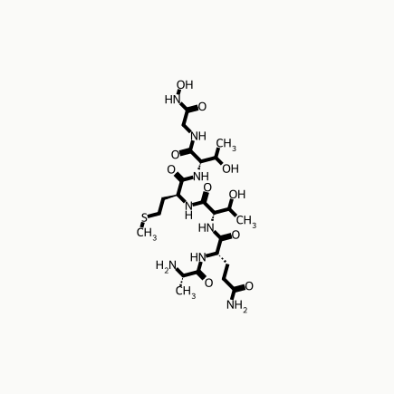 CSCC[C@H](NC(=O)[C@@H](NC(=O)[C@H](CCC(N)=O)NC(=O)[C@H](C)N)C(C)O)C(=O)N[C@H](C(=O)NCC(=O)NO)C(C)O